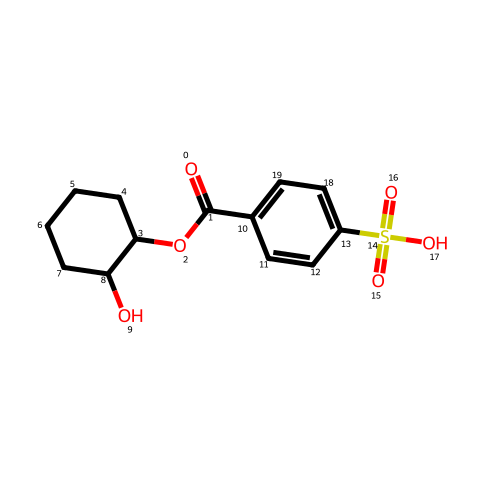 O=C(OC1CCCCC1O)c1ccc(S(=O)(=O)O)cc1